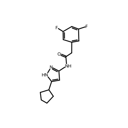 O=C(Cc1cc(F)cc(F)c1)Nc1cc(C2CCCC2)[nH]n1